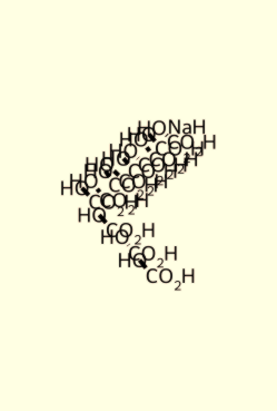 O=C(O)O.O=C(O)O.O=C(O)O.O=C(O)O.O=C(O)O.O=C(O)O.O=C(O)O.O=C(O)O.O=C(O)O.O=C(O)O.O=C(O)O.O=C(O)O.[NaH]